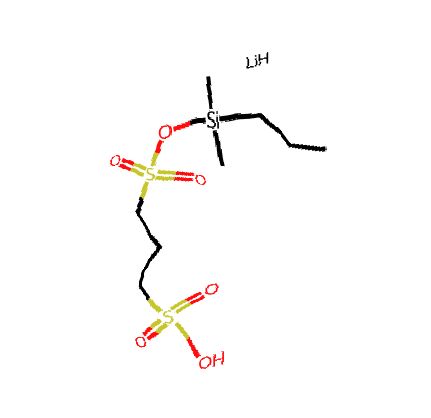 CCC[Si](C)(C)OS(=O)(=O)CCCS(=O)(=O)O.[LiH]